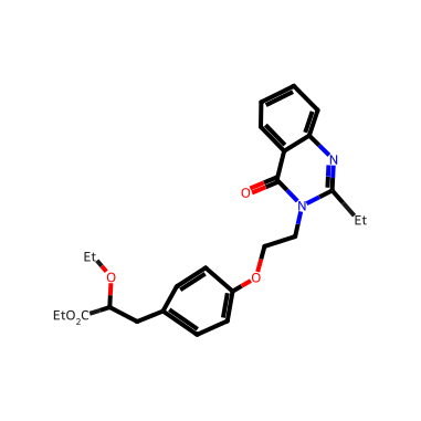 CCOC(=O)C(Cc1ccc(OCCn2c(CC)nc3ccccc3c2=O)cc1)OCC